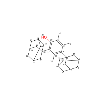 Cc1c(C)c(C23CC4CC(CC(C4)C2)C3)c(C)c(C23CC4CC(CC(C4)C2)C3)c1O